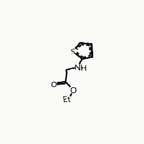 CCOC(=O)CNc1cccs1